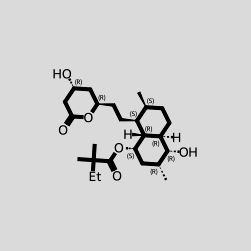 CCC(C)(C)C(=O)O[C@H]1C[C@@H](C)[C@@H](O)[C@@H]2CC[C@H](C)[C@H](CC[C@@H]3C[C@@H](O)CC(=O)O3)[C@H]21